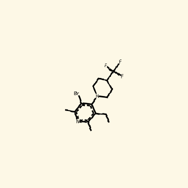 CCc1c(C)nc(C)c(Br)c1N1CCC(C(F)(F)F)CC1